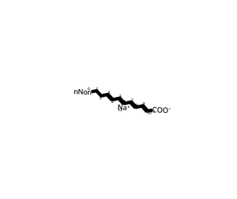 CCCCCCCCCCCC=CC=CC=CC=CC(=O)[O-].[Na+]